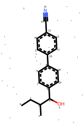 CCC(C)C(O)c1ccc(-c2ccc(C#N)cc2)cc1